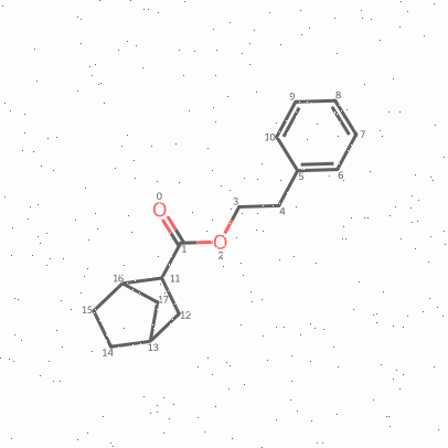 O=C(OCCc1ccccc1)C1CC2CCC1C2